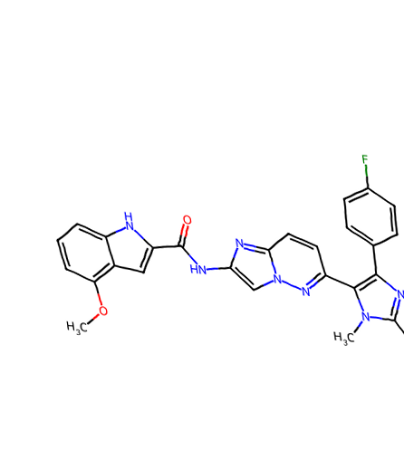 COc1cccc2[nH]c(C(=O)Nc3cn4nc(-c5c(-c6ccc(F)cc6)nc(C)n5C)ccc4n3)cc12